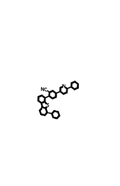 N#Cc1cc(-c2ccc(-c3ccccc3)nc2)ccc1-c1cccc2c1sc1c(-c3ccccc3)cccc12